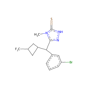 Cn1c(C(c2cccc(Br)c2)C2CC(C(F)(F)F)C2)n[nH]c1=S